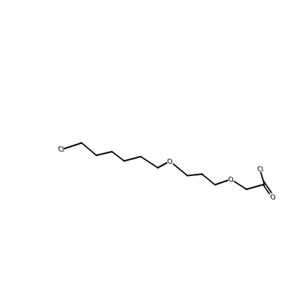 O=C(Cl)COCCCOCCCCCCCl